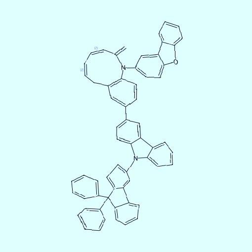 C=C1/C=C\C=C/Cc2cc(-c3ccc4c(c3)c3ccccc3n4-c3ccc4c(c3)-c3ccccc3C4(c3ccccc3)c3ccccc3)ccc2N1c1ccc2oc3ccccc3c2c1